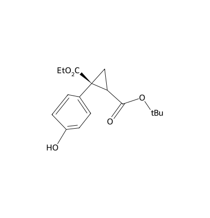 CCOC(=O)[C@@]1(c2ccc(O)cc2)CC1C(=O)OC(C)(C)C